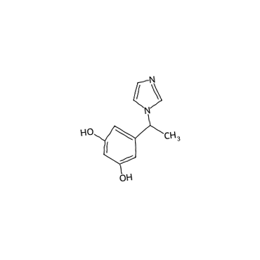 CC(c1cc(O)cc(O)c1)n1ccnc1